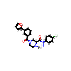 CC(=O)N1CCN(C(=O)c2cccc(-c3ccco3)c2)CC1C(=O)Nc1ccc(Cl)cc1